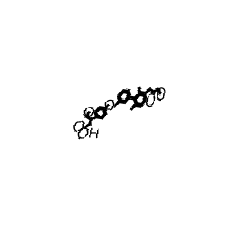 COCC1Cc2c(cc(C)c(-c3cccc(COc4ccc5c(c4)OCC5CC(=O)O)c3)c2C)O1